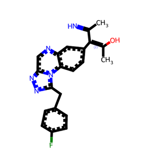 CC(=N)/C(=C(/C)O)c1ccc2c(c1)ncc1nnc(Cc3ccc(F)cc3)n12